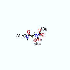 CON(C)C(=O)CCN(C(=O)OC(C)(C)C)C(=O)OC(C)(C)C